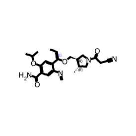 C=Nc1cc(C(N)=O)c(OC(C)C)cc1/C(=C\C)OC[C@H]1CN(C(=O)CC#N)C[C@@H]1C